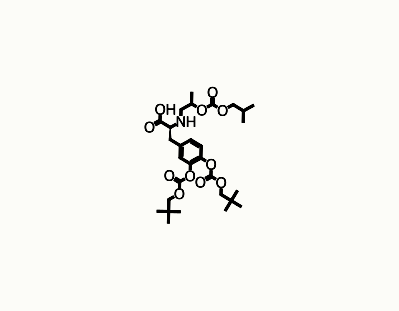 CC(C)COC(=O)OC(C)CN[C@@H](Cc1ccc(OC(=O)OCC(C)(C)C)c(OC(=O)OCC(C)(C)C)c1)C(=O)O